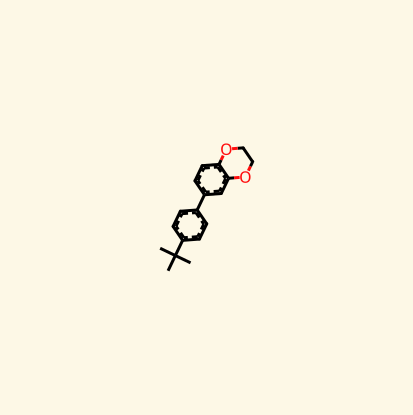 CC(C)(C)c1ccc(-c2ccc3c(c2)OCCO3)cc1